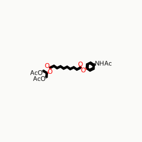 CC(=O)Nc1ccc(OC(=O)CCCCCCCCC(=O)OC(COC(C)=O)COC(C)=O)cc1